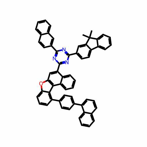 CC1(C)c2ccccc2-c2ccc(-c3nc(-c4ccc5ccccc5c4)nc(-c4cc5oc6cccc(-c7ccc(-c8cccc9ccccc89)cc7)c6c5c5ccccc45)n3)cc21